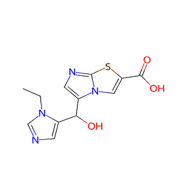 CCn1cncc1C(O)c1cnc2sc(C(=O)O)cn12